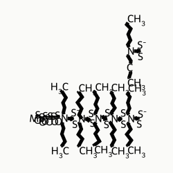 CCCCCCN(CCCCCC)C(=S)[S-].CCCCCCN(CCCCCC)C(=S)[S-].CCCCCCN(CCCCCC)C(=S)[S-].CCCCCCN(CCCCCC)C(=S)[S-].CCCCCCN(CCCCCC)C(=S)[S-].CCCCCCN(CCCCCC)C(=S)[S-].O=S.O=S.O=S.O=S.O=S.O=S.[Mo+6]